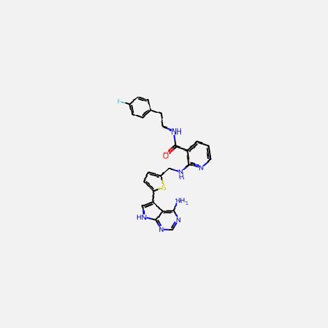 Nc1ncnc2[nH]cc(-c3ccc(CNc4ncccc4C(=O)NCCc4ccc(F)cc4)s3)c12